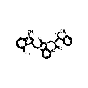 COC(c1ccccc1)C(Cn1c(=O)n(Cc2cn(C)c3cccc(C)c23)c2ccccc21)C(=O)O